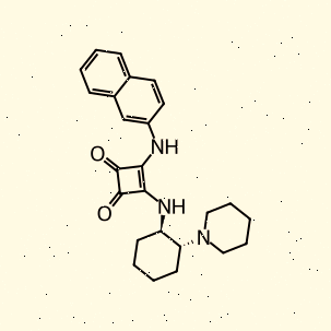 O=c1c(Nc2ccc3ccccc3c2)c(N[C@@H]2CCCC[C@H]2N2CCCCC2)c1=O